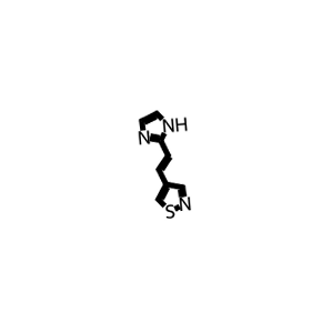 C(=C\c1ncc[nH]1)/c1cnsc1